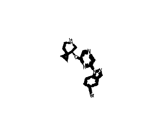 Brc1ccc2c(cnn2-c2cncc(O[C@@H]3CNCCC34CC4)n2)c1